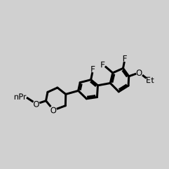 CCCOC1CCC(c2ccc(-c3ccc(OCC)c(F)c3F)c(F)c2)CO1